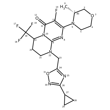 C[C@@H]1COCCN1c1nc2n(c(=O)c1F)C(C(F)(F)F)CCN2Cc1nc(C2CC2)no1